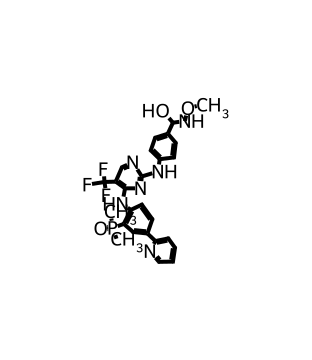 CONC(O)c1ccc(Nc2ncc(C(F)(F)F)c(Nc3ccc(-c4ccccn4)cc3P(C)(C)=O)n2)cc1